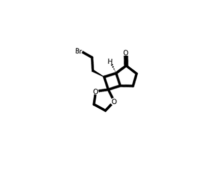 O=C1CCC2[C@H]1[C@H](CCBr)C21OCCO1